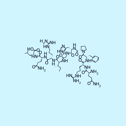 CC[C@H](C)[C@H](NC(=O)CNC(=O)[C@H](Cc1c[nH]cn1)NC(=O)[C@@H]1CCCN1C(=O)[C@H](Cc1ccccc1)NC(=O)[C@H](CCCNC(=N)N)NC(=O)[C@@H](N)CCC(N)=O)C(=O)N[C@@H](CCCNC(=N)N)C(=O)N[C@@H](CCC(N)=O)C(=O)N[C@@H](CC(C)C)C(=O)O